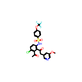 COc1cncc(CC(=O)c2c(NS(=O)(=O)c3ccc(OC(F)(F)F)cc3)ccc(Cl)c2C(C)=O)c1